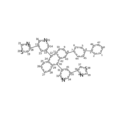 c1ccc(-c2ccc(-c3ccc4c(-c5cncc(-c6cscn6)c5)c5ccccc5c(-c5cncc(-c6cscn6)c5)c4c3)cc2)cc1